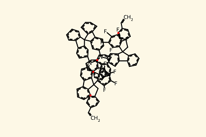 C=Cc1ccc(CC2(c3c(F)c(F)c(F)c(F)c3F)c3ccccc3-c3ccc(N(c4ccc5c(c4)C4(c6ccccc6-5)c5ccccc5-c5ccc(N(c6ccc7c(c6)C(Cc6ccc(C=C)cc6)(c6c(F)c(F)c(F)c(F)c6F)c6ccccc6-7)c6cccc7ccccc67)cc54)c4cccc5ccccc45)cc32)cc1